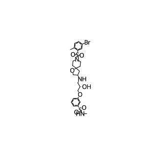 CNS(=O)(=O)c1cccc(OC[C@@H](O)CNC2COC3(CCN(S(=O)(=O)c4cc(Br)ccc4C)CC3)C2)c1